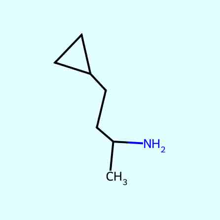 CC(N)CCC1CC1